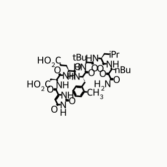 CCCC[C@H](NC(=O)[C@H](CC(C)C)NC(=O)[C@@H](NC(=O)[C@H](Cc1ccccc1C)NC(=O)[C@H](CCC(=O)O)NC(=O)[C@H](CC(=O)O)NC(=O)c1cc(=O)[nH]c(=O)[nH]1)C(C)(C)C)C(=O)C(N)=O